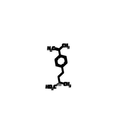 C=C(C)c1ccc(CC[C@H](C)C(=O)O)cc1